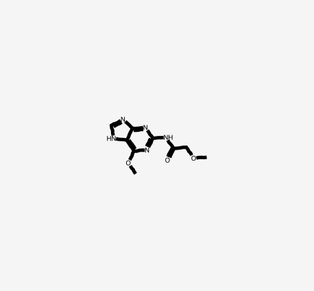 COCC(=O)Nc1nc(OC)c2[nH]cnc2n1